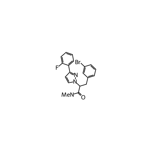 CNC(=O)C(Cc1cccc(Br)c1)n1ccc(-c2ccccc2F)n1